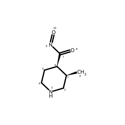 C[C@H]1CNCC[C@H]1C(=O)N=O